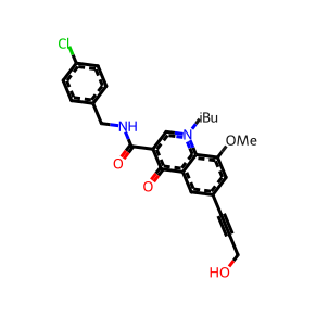 CCC(C)n1cc(C(=O)NCc2ccc(Cl)cc2)c(=O)c2cc(C#CCO)cc(OC)c21